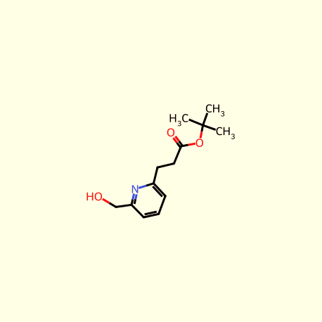 CC(C)(C)OC(=O)CCc1cccc(CO)n1